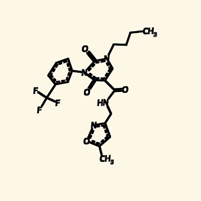 CCCCn1cc(C(=O)NCc2cc(C)on2)c(=O)n(-c2cccc(C(F)(F)F)c2)c1=O